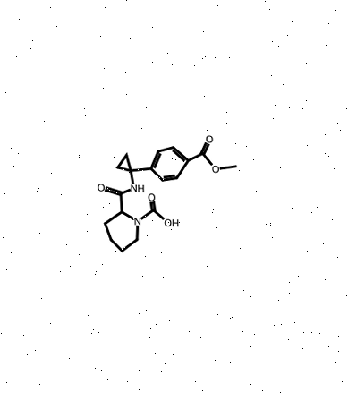 COC(=O)c1ccc(C2(NC(=O)C3CCCCN3C(=O)O)CC2)cc1